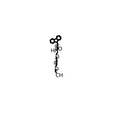 C#CCOCCOCCOCCNC(=O)OCC1c2ccccc2-c2ccccc21